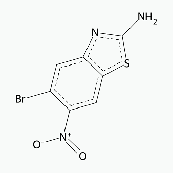 Nc1nc2cc(Br)c([N+](=O)[O-])cc2s1